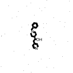 OC(Cc1ccncc1)C1CCN(Cc2ccccc2)CC1